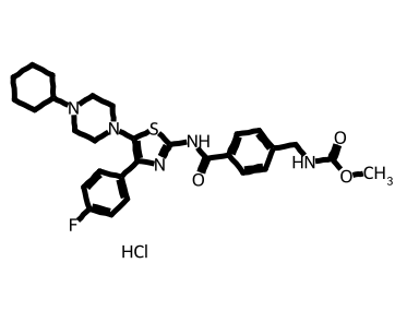 COC(=O)NCc1ccc(C(=O)Nc2nc(-c3ccc(F)cc3)c(N3CCN(C4CCCCC4)CC3)s2)cc1.Cl